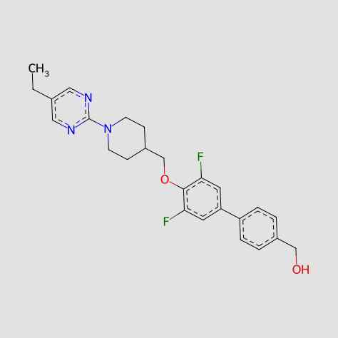 CCc1cnc(N2CCC(COc3c(F)cc(-c4ccc(CO)cc4)cc3F)CC2)nc1